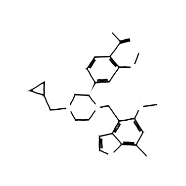 COc1cc([C@@H]2CN(CC3CC3)CCN2Cc2c(OC)cc(C)c3[nH]ccc23)ccc1C(=O)O